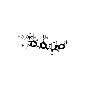 Cc1cc(CNC(=O)c2sc3ccc(Cl)cc3c2C)cc(Oc2ccc(OC(C)(C)C(=O)O)c(C)c2)c1